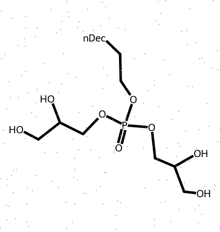 CCCCCCCCCCCCOP(=O)(OCC(O)CO)OCC(O)CO